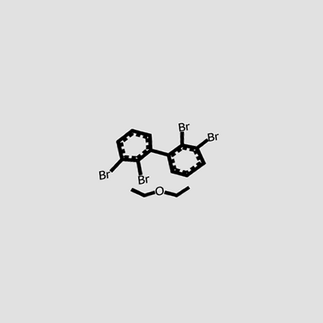 Brc1cccc(-c2cccc(Br)c2Br)c1Br.CCOCC